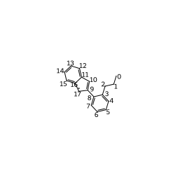 CCCc1ccccc1C1=Cc2ccccc2[CH]1